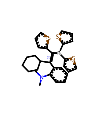 CN(C)c1ccccc1/C(=C(\B(c1cccs1)c1cccs1)c1cccs1)C1CCCCC1